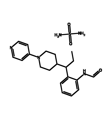 CCC(c1ccccc1NC=O)C1CCN(c2ccncc2)CC1.NS(N)(=O)=O